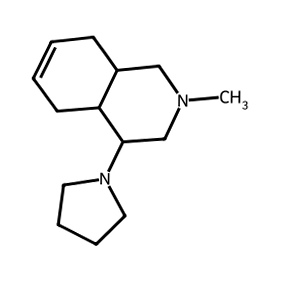 CN1CC2CC=CCC2C(N2CCCC2)C1